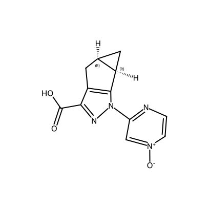 O=C(O)c1nn(-c2c[n+]([O-])ccn2)c2c1C[C@H]1C[C@@H]21